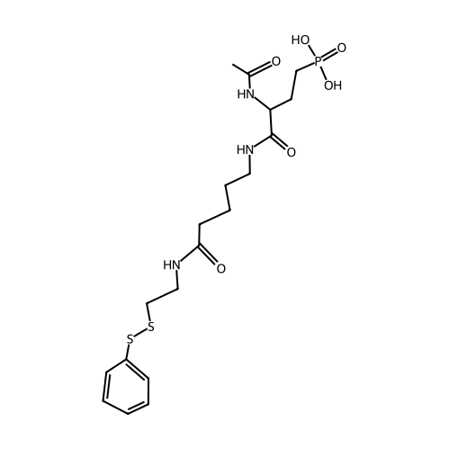 CC(=O)NC(CCP(=O)(O)O)C(=O)NCCCCC(=O)NCCSSc1ccccc1